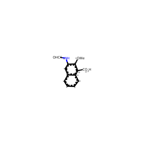 COc1c(NC=O)cc2ccccc2c1C(=O)O